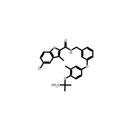 Cc1cc(Oc2cccc(CNC(=O)c3sc4ccc(Cl)cc4c3C)c2)ccc1OC(C)(C)C(=O)O